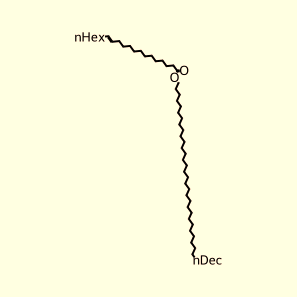 CCCCCCC=CCCCCCCCCCCCC(=O)OCCCCCCCCCCCCCCCCCCCCCCCCCCCCCCCCCCCCCCCC